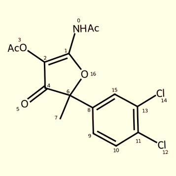 CC(=O)NC1=C(OC(C)=O)C(=O)C(C)(c2ccc(Cl)c(Cl)c2)O1